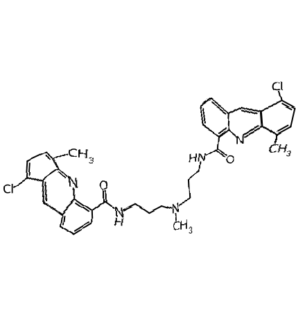 Cc1ccc(Cl)c2cc3cccc(C(=O)NCCCN(C)CCCNC(=O)c4cccc5cc6c(Cl)ccc(C)c6nc45)c3nc12